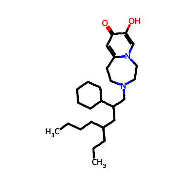 CCCCC(CCC)CC(CN1CCc2cc(=O)c(O)cn2CC1)C1CCCCC1